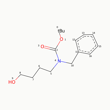 CC(C)(C)OC(=O)N(CCCCO)Cc1ccccc1